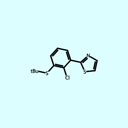 CC(C)(C)Sc1cccc(-c2nccs2)c1Cl